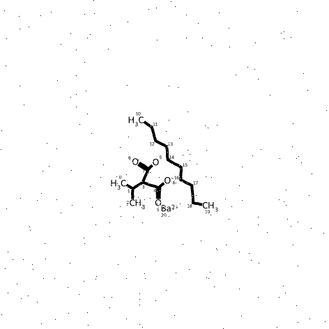 CC(C)C(C(=O)[O-])C(=O)[O-].CCCCCCCCCC.[Ba+2]